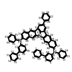 c1ccc(-c2cccc(N(c3ccccc3)c3ccc4cc5c6cc(-c7ccccc7)cc7c8cc9ccc(N(c%10ccccc%10)c%10cccc(-c%11ccccc%11)c%10)cc9cc8n(c5cc4c3)c67)c2)cc1